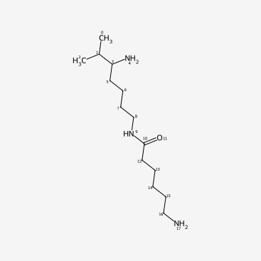 CC(C)C(N)CCCCNC(=O)CCCCCN